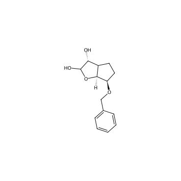 OC1O[C@H]2C(CC[C@H]2OCc2ccccc2)[C@H]1O